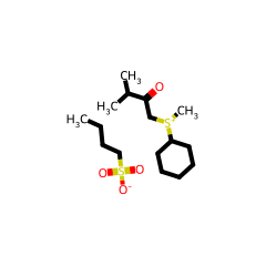 CC(C)C(=O)C[S+](C)C1CCCCC1.CCCCS(=O)(=O)[O-]